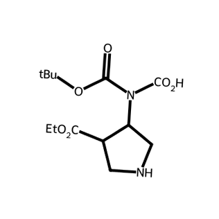 CCOC(=O)C1CNCC1N(C(=O)O)C(=O)OC(C)(C)C